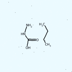 CCCC.NNC(=O)O